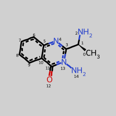 C[C@H](N)c1nc2ccccc2c(=O)n1N